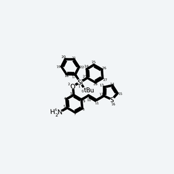 CC(C)(C)[Si](Oc1cc(N)ccc1C=Cc1cccs1)(c1ccccc1)c1ccccc1